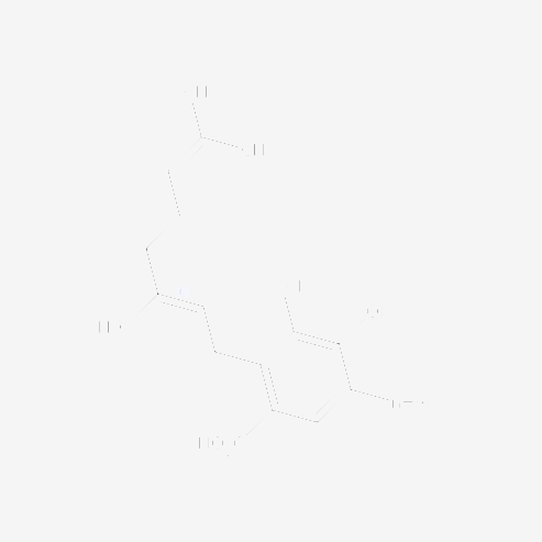 CCCCCCCc1cc(C(=O)O)c(C/C=C(\C)CCC=C(C)C)c(O)c1O